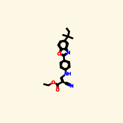 CCOC(=O)/C(C#N)=C/Nc1ccc(-c2nc3cc(C(C)(C)CC)ccc3o2)cc1